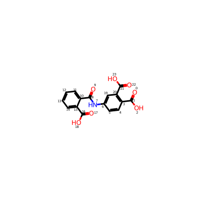 O=C(O)c1ccc(NC(=O)c2ccccc2C(=O)O)cc1C(=O)O